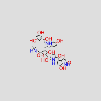 CC(C)(C)NCC(O)c1ccc(O)c(CO)c1.CC(Cc1ccc(O)cc1)NCC(O)c1cc(O)cc(O)c1.CCC(NC(C)C)C(O)c1ccc(O)c2[nH]c(=O)ccc12